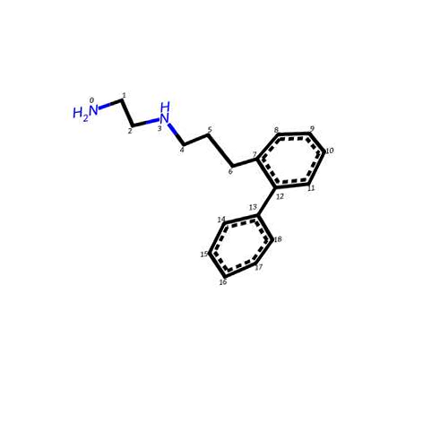 NCCNCCCc1ccccc1-c1ccccc1